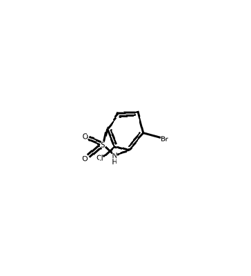 O=S1(=O)Nc2c(Br)ccc1c2Cl